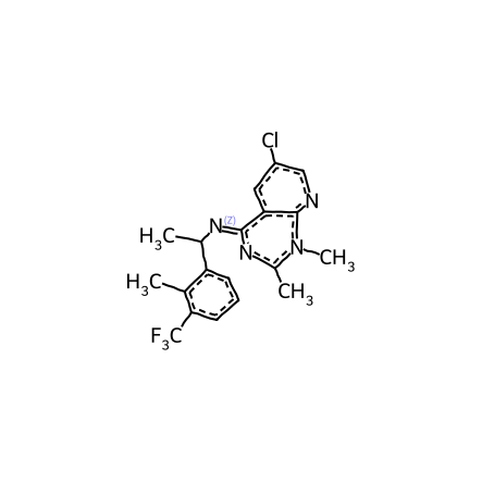 Cc1c(C(C)/N=c2\nc(C)n(C)c3ncc(Cl)cc23)cccc1C(F)(F)F